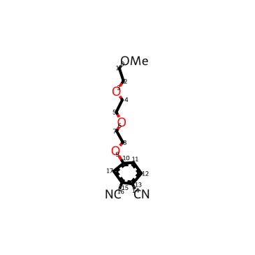 COCCOCCOCCOc1ccc(C#N)c(C#N)c1